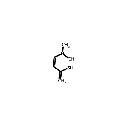 C=C(S)/C=C\N(C)C